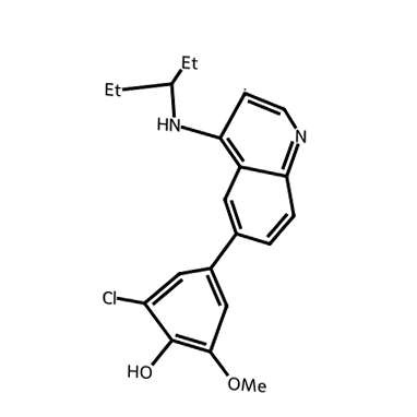 CCC(CC)Nc1[c]cnc2ccc(-c3cc(Cl)c(O)c(OC)c3)cc12